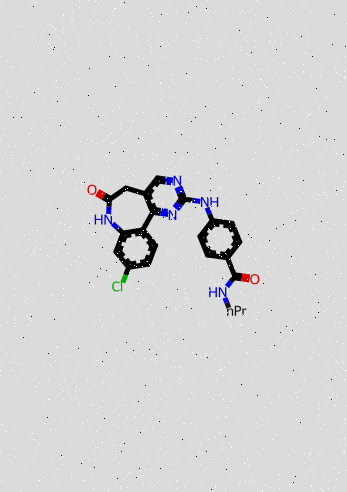 CCCNC(=O)c1ccc(Nc2ncc3c(n2)-c2ccc(Cl)cc2NC(=O)C3)cc1